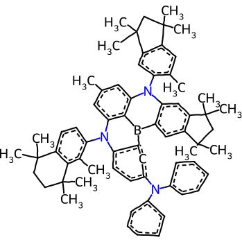 Cc1cc2c3c(c1)N(c1ccc4c(c1C)C(C)(C)CCC4(C)C)c1ccc(N(c4ccccc4)c4ccccc4)cc1B3c1cc3c(cc1N2c1cc2c(cc1C)C(C)(C)CC2(C)C)C(C)(C)CC3(C)C